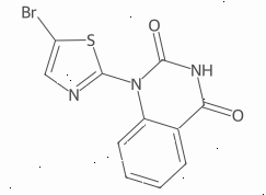 O=c1[nH]c(=O)n(-c2ncc(Br)s2)c2ccccc12